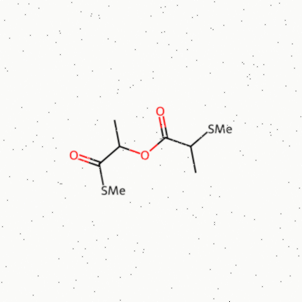 CSC(=O)C(C)OC(=O)C(C)SC